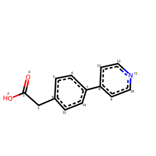 O=C(O)Cc1ccc(-c2ccncc2)cc1